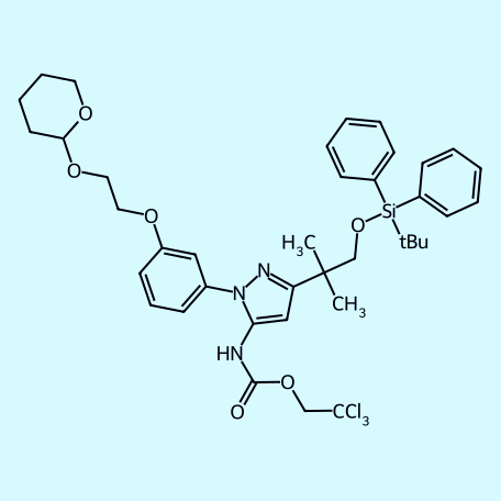 CC(C)(CO[Si](c1ccccc1)(c1ccccc1)C(C)(C)C)c1cc(NC(=O)OCC(Cl)(Cl)Cl)n(-c2cccc(OCCOC3CCCCO3)c2)n1